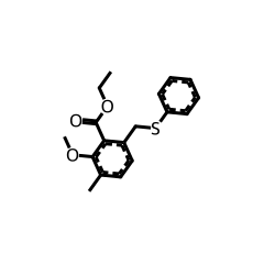 CCOC(=O)c1c(CSc2ccccc2)ccc(C)c1OC